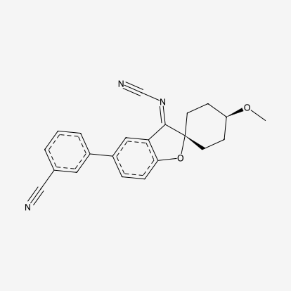 CO[C@H]1CC[C@@]2(CC1)Oc1ccc(-c3cccc(C#N)c3)cc1C2=NC#N